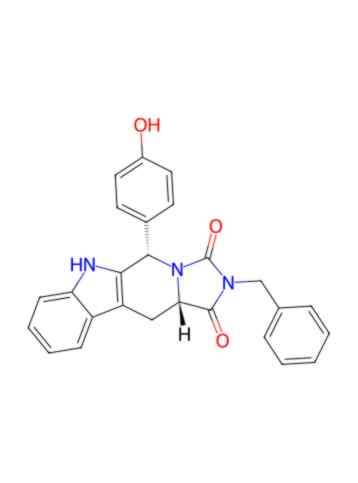 O=C1[C@@H]2Cc3c([nH]c4ccccc34)[C@H](c3ccc(O)cc3)N2C(=O)N1Cc1ccccc1